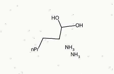 CCCCCC(O)O.N.N